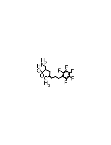 CC(CCCc1c(F)c(F)c(F)c(F)c1F)CC(CN)C(=O)O